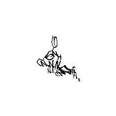 Cc1cc(Nc2nc(N3CCCC3c3cc(C4CCOC4)no3)ncc2Cl)n[nH]1